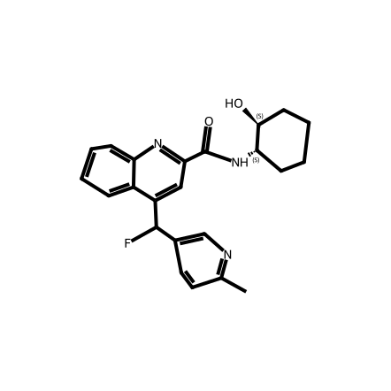 Cc1ccc(C(F)c2cc(C(=O)N[C@H]3CCCC[C@@H]3O)nc3ccccc23)cn1